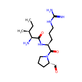 CC[C@H](C)[C@H](N)C(=O)N[C@@H](CCCNC(=N)N)C(=O)N1CCC[C@H]1[C]=O